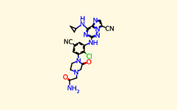 N#Cc1cc(Nc2nc(NC3CC3)c3ncc(C#N)n3n2)c(Cl)c(N2CCN(CC(N)=O)CC2=O)c1